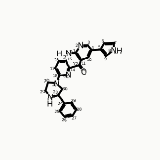 Nc1ncc(-c2cc[nH]c2)cc1C(=O)c1cccc(N2CCNC(c3ccccc3)C2)n1